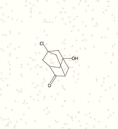 O=C1C2CC3(O)CC1CC(Cl)(C2)C3